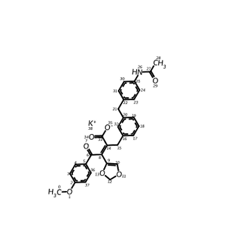 COc1ccc(C(=O)C(C2=COCO2)=C(Cc2cccc(Cc3ccc(NC(C)=O)cc3)c2)C(=O)[O-])cc1.[K+]